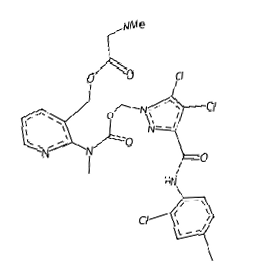 CNCC(=O)OCc1cccnc1N(C)C(=O)OCn1nc(C(=O)Nc2ccc(C)cc2Cl)c(Cl)c1Cl